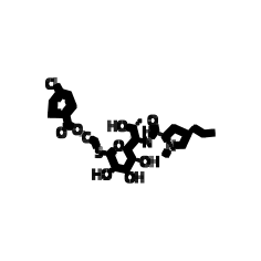 CCC[C@@H]1C[C@@H](C(=O)N[C@@H]([C@H]2O[C@H](SCCOC(=O)c3ccc(Cl)cc3)[C@H](O)[C@@H](O)[C@H]2O)[C@@H](C)O)N(C)C1